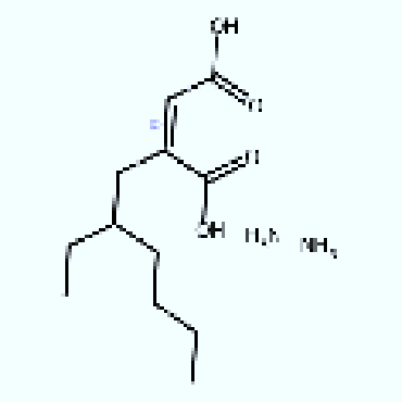 CCCCC(CC)C/C(=C/C(=O)O)C(=O)O.N.N